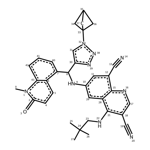 Cn1c(=O)ccc2c(C(Nc3cc(C#N)c4ncc(C#N)c(NCC(C)(C)C)c4c3)c3cn(C45CC(C4)C5)nn3)cccc21